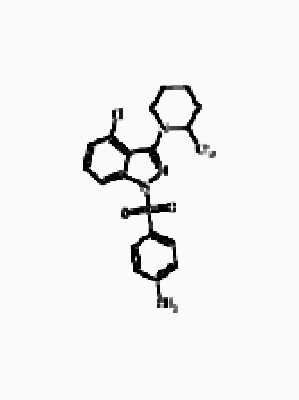 Cc1ccc(S(=O)(=O)n2nc(N3CCCCC3C(F)(F)F)c3c(Cl)cccc32)cc1